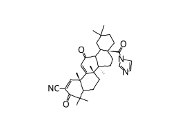 CC1(C)CC[C@]2(C(=O)n3ccnc3)CC[C@]3(C)C(C(=O)C=C4[C@@]5(C)C=C(C#N)C(=O)C(C)(C)C5CC[C@]43C)C2C1